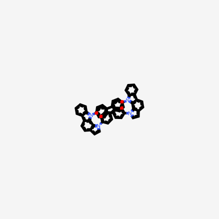 c1ccc(-c2ccc(-n3ccc4ccc5c6ccccc6n(-c6ccc(-c7ccc(-n8c9ccccc9c9ccc%10ccn(-c%11ccc(-c%12ccccc%12)cc%11)c%10c98)cc7)cc6)c5c43)cc2)cc1